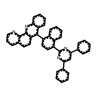 c1ccc(-c2cc(-c3ccccc3)nc(-c3ccc(-c4c5ccccc5nc5c4ccc4cccnc45)c4ccccc34)n2)cc1